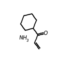 C=CC(=O)C1CCCCC1.N